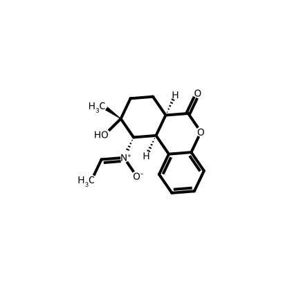 C/C=[N+](\[O-])[C@H]1[C@@H]2c3ccccc3OC(=O)[C@@H]2CC[C@@]1(C)O